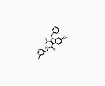 CC(C)c1c(C(=O)NCc2cncc(F)c2)c2ccc(O)cc2n1Cc1cccnc1